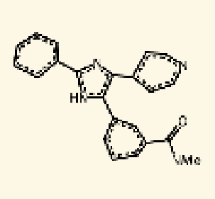 CNC(=O)c1cccc(-c2[nH]c(-c3ccccc3)nc2-c2ccncc2)c1